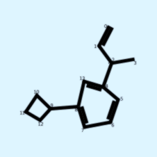 C=C[C](C)c1cccc(C2CCC2)c1